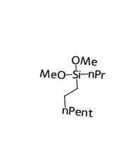 CCCCCCC[Si](CCC)(OC)OC